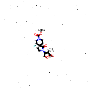 CC1=C(N2CC[C@@]3(CCN(C(=O)OC(C)(C)C)C[C@@H]3F)C2=O)COC1=O